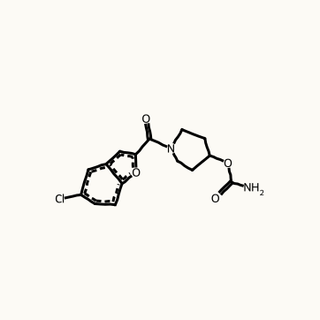 NC(=O)OC1CCN(C(=O)c2cc3cc(Cl)ccc3o2)CC1